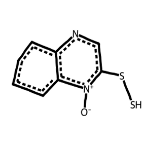 [O-][n+]1c(SS)cnc2ccccc21